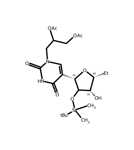 CC[C@H]1O[C@@H](c2cn(CC(COC(C)=O)OC(C)=O)c(=O)[nH]c2=O)C(O[Si](C)(C)C(C)(C)C)[C@H]1O